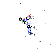 CCC(=O)N1CCC(n2c(=O)c(-c3ccccc3Cl)cc3cnc(Nc4ccc(N5CCN(C)CC5)c(C)c4)nc32)CC1